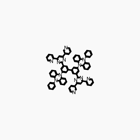 c1ccc(N2c3ccccc3N(c3cc(-c4cc(-c5nc(-c6cccnc6)cc(-c6ccccn6)n5)cc(N5c6ccccc6N(c6ccccc6)c6ccccc65)c4)cc(-c4nc(-c5cccnc5)cc(-c5ccccn5)n4)c3)c3ccccc32)cc1